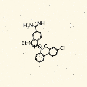 CCn1cc(Cc2ccccc2-c2ccc(Cl)cc2C(=O)O)c2ccc(C(=N)N)cc21